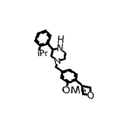 COc1cc(CN2CCNC(c3ccccc3C(C)C)C2)ccc1C1COC1